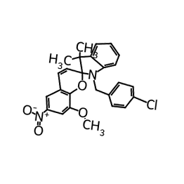 COc1cc([N+](=O)[O-])cc2c1OC1(C=C2)N(Cc2ccc(Cl)cc2)c2ccccc2C1(C)C